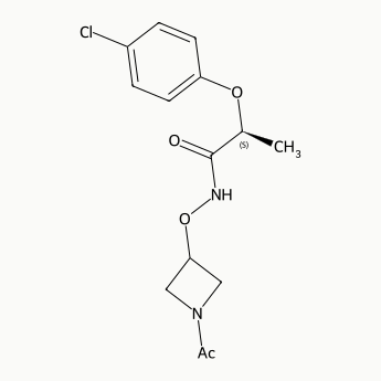 CC(=O)N1CC(ONC(=O)[C@H](C)Oc2ccc(Cl)cc2)C1